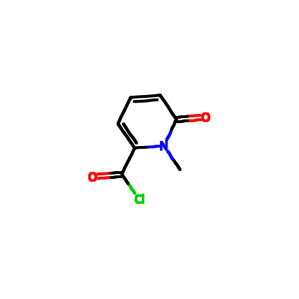 Cn1c(C(=O)Cl)cccc1=O